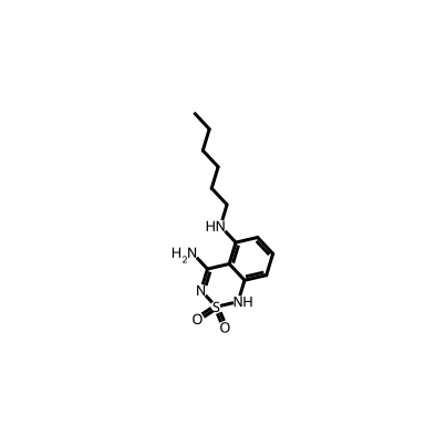 CCCCCCNc1cccc2c1C(N)=NS(=O)(=O)N2